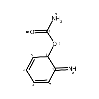 N=C1C=CC=CC1OC(N)=O